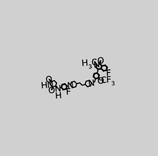 Cn1cc(-c2ccc(CN3CCC(CCC4CCN(c5ccc(NC6CCC(=O)NC6=O)cc5F)CC4)CC3)c(OC(F)(F)F)c2)c2cc(F)ccc2c1=O